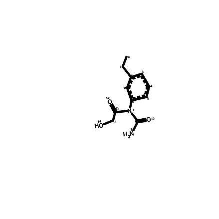 CCc1cccc(N(C(N)=O)C(=O)CO)c1